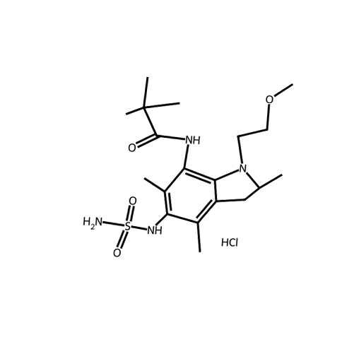 COCCN1c2c(c(C)c(NS(N)(=O)=O)c(C)c2NC(=O)C(C)(C)C)CC1C.Cl